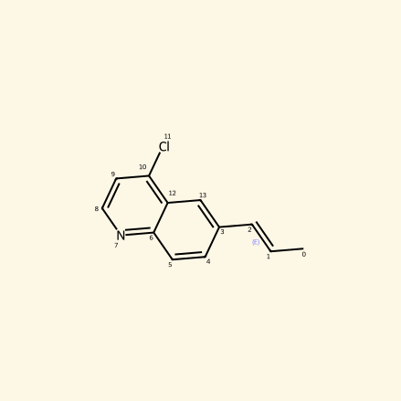 C/C=C/c1ccc2nccc(Cl)c2c1